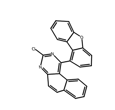 Clc1nc(-c2cccc3oc4ccccc4c23)c2c(ccc3ccccc32)n1